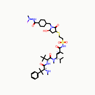 CN[C@H](C(=O)N[C@H](C(=O)N(C)[C@H](/C=C(\C)C(=O)NS(=O)(=O)CCSC1CC(O)N(CC2CCC(C(=O)NN(C)I)CC2)C1=O)C(C)C)C(C)(C)C)C(C)(C)c1ccccc1